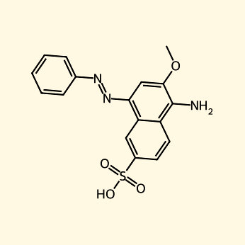 COc1cc(N=Nc2ccccc2)c2cc(S(=O)(=O)O)ccc2c1N